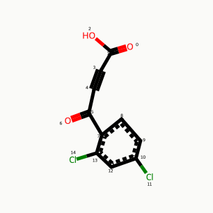 O=C(O)C#CC(=O)c1ccc(Cl)cc1Cl